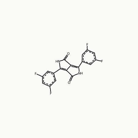 O=C1NC(c2cc(F)cc(F)c2)=C2C(=O)NC(c3cc(F)cc(F)c3)=C12